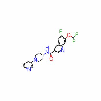 O=C(NC1CCN(c2cccnc2)CC1)c1cnc2cc(OC(F)F)c(F)cc2c1